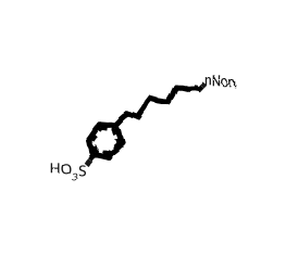 CCCCCCCCCCCCCCCc1ccc(S(=O)(=O)O)cc1